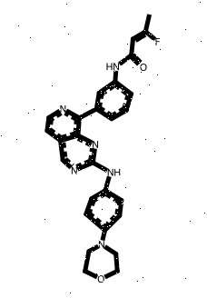 CC(F)=CC(=O)Nc1cccc(-c2nccc3cnc(Nc4ccc(N5CCOCC5)cc4)nc23)c1